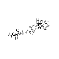 CNC(=O)NCCCC(=O)N1CCC(NS(=O)(=O)c2ccccc2)CC1